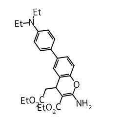 CCOC(=O)CC1C(C(=O)OCC)=C(N)Oc2ccc(-c3ccc(N(CC)CC)cc3)cc21